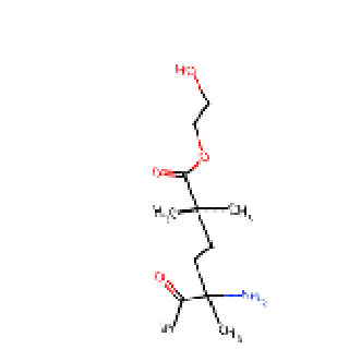 CC(C)C(=O)C(C)(N)CCC(C)(C)C(=O)OCCO